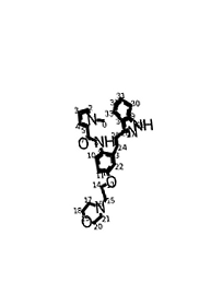 Cn1cccc1C(=O)Nc1ccc(OCCN2CCOCC2)cc1C=Cc1n[nH]c2ccccc12